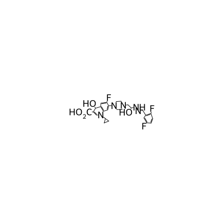 O=C(O)C1=CN(C2CC2)c2cc(N3CCN(CC(O)NN=Cc4cc(F)ccc4F)CC3)c(F)cc2C1O